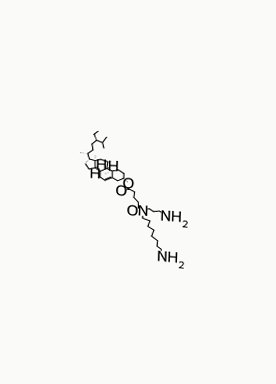 CC[C@H](CC[C@@H](C)[C@H]1CC[C@H]2[C@@H]3CC=C4C[C@@H](OC(=O)CCCC(=O)N(CCCN)CCCCCCCCN)CC[C@]4(C)[C@H]3CC[C@]12C)C(C)C